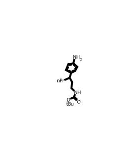 CCCC(CCNC(=O)OC(C)(C)C)c1ccc(N)cc1